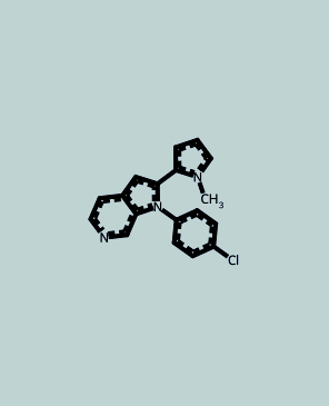 Cn1cccc1-c1cc2ccncc2n1-c1ccc(Cl)cc1